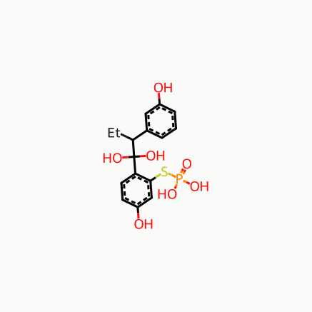 CCC(c1cccc(O)c1)C(O)(O)c1ccc(O)cc1SP(=O)(O)O